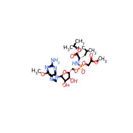 COC(=O)COP(=O)(N[C@@H](CC(C)C)C(=O)OC(C)C)OC[C@H]1OC(n2cnc3c(OC)nc(N)nc32)C(O)[C@H]1O